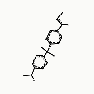 CC=C(C)c1ccc(C(C)(C)c2ccc(C(C)C)cc2)cc1